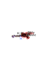 CCCCC/C=C\C/C=C\CCCCCCCCNC(=S)O[C@@H]1[C@@H](O)[C@H](O[C@@H]2c3cc4c(cc3C(c3cc(OC)c(O)c(OC)c3)C3C(=O)OC[C@@H]32)OCO4)O[C@@H]2CO[C@@H](C)O[C@@H]12